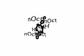 CCCCCCCCc1ccccc1-c1ccc(-c2c3nc(cc4ccc([nH]4)c(-c4ccc5c(c4)C(CCCCCCCC)(CCCCCCCC)c4ccccc4-5)c4nc(cc5ccc2[nH]5)C=C4)C=C3)cc1CCCCCCCC